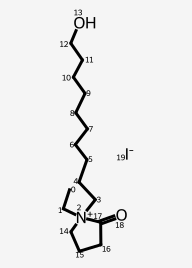 CC[N+]1(CCCCCCCCCCO)CCCC1=O.[I-]